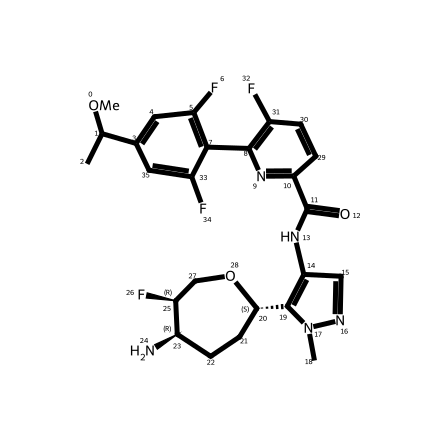 COC(C)c1cc(F)c(-c2nc(C(=O)Nc3cnn(C)c3[C@@H]3CC[C@@H](N)[C@@H](F)CO3)ccc2F)c(F)c1